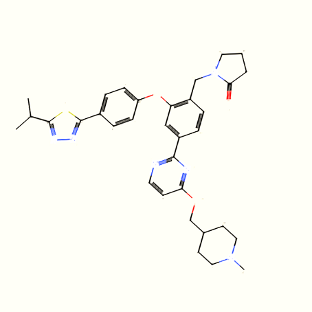 CC(C)c1nnc(-c2ccc(Oc3cc(-c4nccc(OCC5CCN(C)CC5)n4)ccc3CN3CCCC3=O)cc2)s1